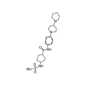 CC(C)(C)S(=O)(=O)NC1CCC(C(=O)Nc2ccc(N3CCC(N4CCCCC4)CC3)cc2)CC1